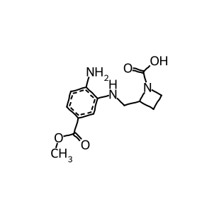 COC(=O)c1ccc(N)c(NCC2CCN2C(=O)O)c1